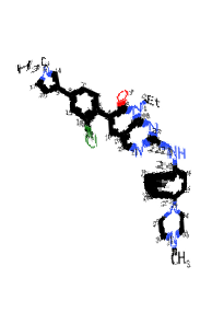 CCn1c(=O)c(-c2ccc(-c3ccn(C)c3)cc2Cl)cc2cnc(Nc3ccc(N4CCN(C)CC4)cc3)nc21